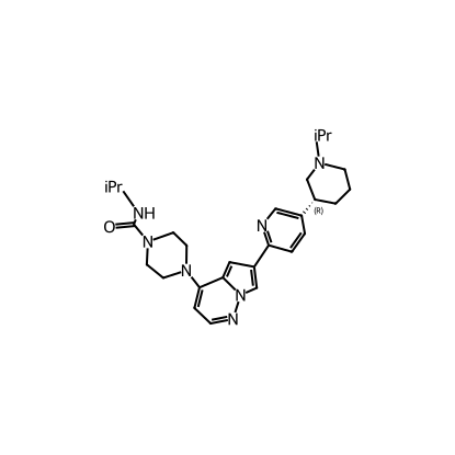 CC(C)NC(=O)N1CCN(c2ccnn3cc(-c4ccc([C@H]5CCCN(C(C)C)C5)cn4)cc23)CC1